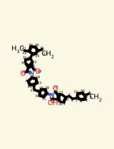 C=Cc1ccc(CCC2=CC3CC2C2C(=O)N(c4ccc(Cc5ccc(N6C(=O)C7C8C=C(c9cc(C=C)ccc9CC)C(C8)C7C6=O)cc5)cc4)C(O)C32)cc1